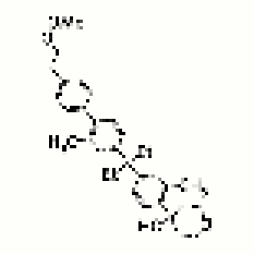 CCC(CC)(c1ccc(-c2ccc(CCOOC)cc2)c(C)c1)c1ccc(C2(O)CCOCC2)c(C)c1